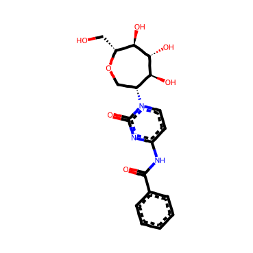 O=C(Nc1ccn([C@@H]2CO[C@H](CO)[C@@H](O)[C@H](O)[C@H]2O)c(=O)n1)c1ccccc1